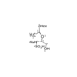 CCCCCCC(C)OC(CO)CS(=O)(=O)O.[NaH]